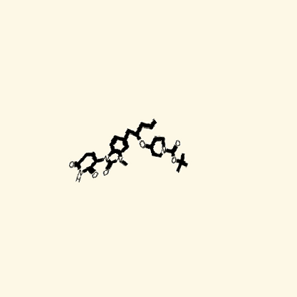 CCCC(Cc1ccc2c(c1)n(C)c(=O)n2C1CCC(=O)NC1=O)OC1CCN(C(=O)OC(C)(C)C)CC1